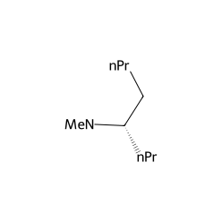 CCCC[C@H](CCC)NC